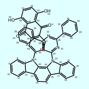 O=C1c2ccc(-n3c4ccccc4c4ccc5c6ccccc6n(-c6nc(-c7ccccc7)nc(-c7ccccc7)n6)c5c43)cc2C(=O)c2c(O)ccc(O)c21